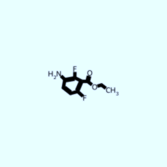 CCOC(=O)c1c(F)ccc(N)c1F